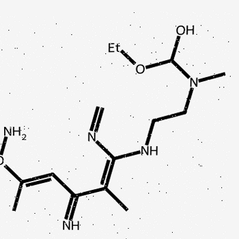 C=N/C(NCCN(C)C(O)OCC)=C(/C)C(=N)/C=C(\C)ON